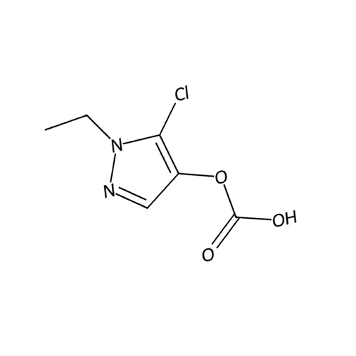 CCn1ncc(OC(=O)O)c1Cl